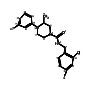 CC1CN(C(=O)NCc2ccc(F)cc2Cl)CCN1c1ccnc(F)c1